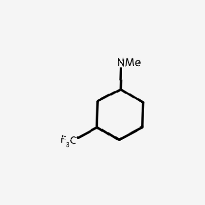 CNC1CCCC(C(F)(F)F)C1